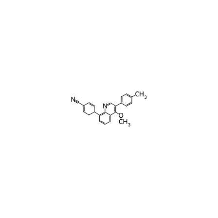 COc1c(-c2ccc(C)cc2)cnc2c(C3C=CC(C#N)=CC3)cccc12